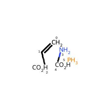 C=CC(=O)O.NC(=O)O.P